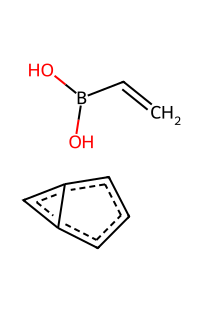 C=CB(O)O.c1cc2cc-2c1